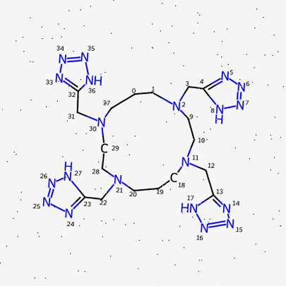 C1CN(Cc2nnn[nH]2)CCN(Cc2nnn[nH]2)CCCN(Cc2nnn[nH]2)CCN(Cc2nnn[nH]2)C1